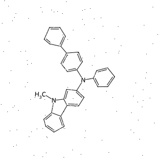 Cn1c2ccccc2c2ccc(N(c3ccccc3)c3ccc(-c4ccccc4)cc3)cc21